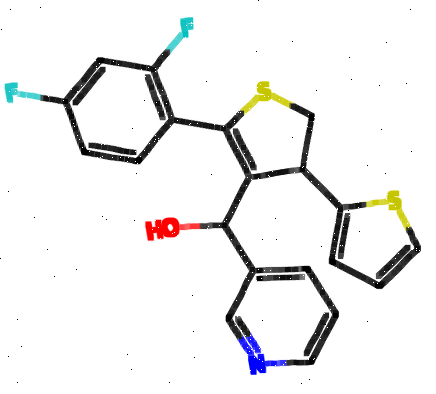 OC(C1=C(c2ccc(F)cc2F)SCC1c1cccs1)c1cccnc1